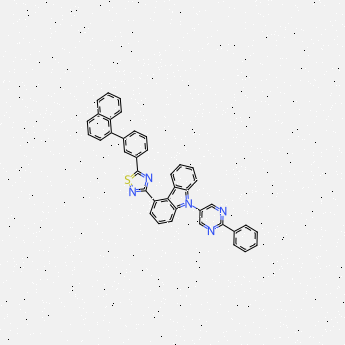 c1ccc(-c2ncc(-n3c4ccccc4c4c(-c5nsc(-c6cccc(-c7cccc8ccccc78)c6)n5)cccc43)cn2)cc1